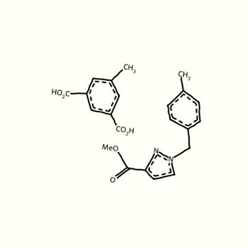 COC(=O)c1ccn(Cc2ccc(C)cc2)n1.Cc1cc(C(=O)O)cc(C(=O)O)c1